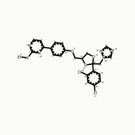 CCSc1nccc(-c2ccc(OCC3COC(Cn4cncn4)(c4ccc(Cl)cc4Cl)O3)cc2)n1